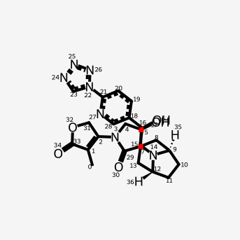 CC1=C(N2CC(O)C3(C[C@H]4CC[C@H](C3)N4CC(O)c3ccc(-n4cnnn4)nc3)C2=O)COC1=O